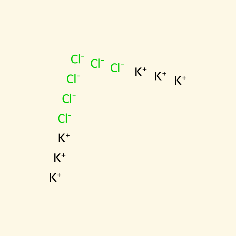 [Cl-].[Cl-].[Cl-].[Cl-].[Cl-].[Cl-].[K+].[K+].[K+].[K+].[K+].[K+]